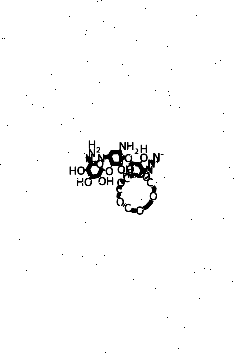 [N-]=[N+]=NC1[C@@H](O)C(OC2[C@H](N)CC(N)[C@@H](O[C@H]3OC(CN)[C@@H](O)[C@H](O)C3O)[C@@H]2O)O[C@@H]2COCCOCCOCCOCCO[C@@H]12